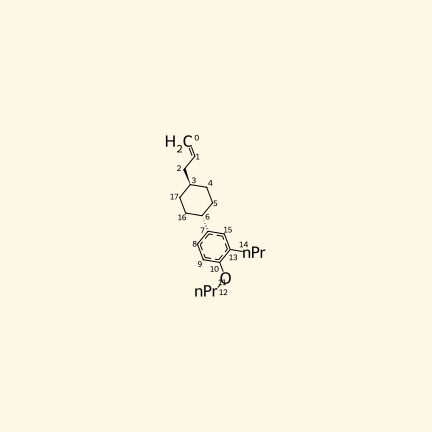 C=CC[C@H]1CC[C@H](c2ccc(OCCC)c(CCC)c2)CC1